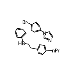 Brc1ccc(-n2ccnc2)cc1.CCCc1ccc(CCBc2ccccc2)cc1